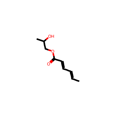 CC=CC=CC(=O)OCC(C)O